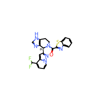 O=C(c1nc2ccccc2s1)N1CCc2[nH]cnc2[C@@H]1c1cc2c(C(F)F)cccn2n1